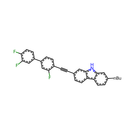 CCCCc1ccc2c(c1)[nH]c1cc(C#Cc3ccc(-c4ccc(F)c(F)c4)cc3F)ccc12